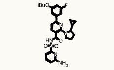 CC(C)COc1cc(F)cc(-c2ccc(C(=O)NS(=O)(=O)c3cccc(N)n3)c(N3CCCC3C3CC3)n2)c1